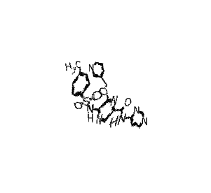 Cc1ccc(S(=O)(=O)Nc2ncc(C(=O)Nc3ccncn3)nc2OCc2cccnc2)cc1